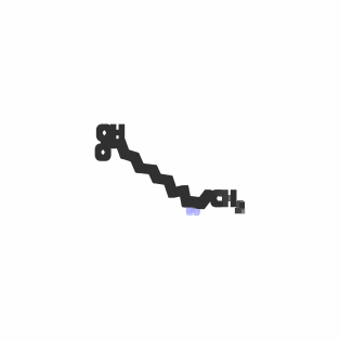 C=C/C=C\CCCCCCCCCC(=O)O